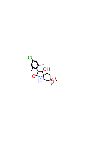 COC1(OC)CCC2(CC1)NC(=O)C(c1c(C)cc(Cl)cc1C)=C2O